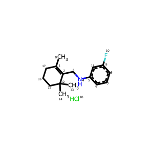 CC1=C(CNc2cccc(F)c2)C(C)(C)CCC1.Cl